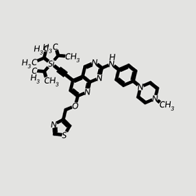 CC(C)[Si](C#Cc1cc(OCc2cscn2)nc2nc(Nc3ccc(N4CCN(C)CC4)cc3)ncc12)(C(C)C)C(C)C